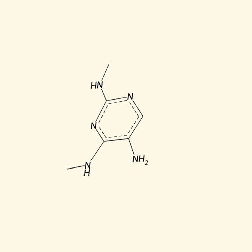 CNc1ncc(N)c(NC)n1